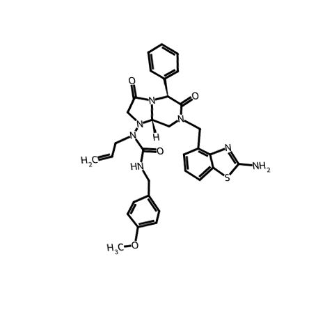 C=CCN(C(=O)NCc1ccc(OC)cc1)N1CC(=O)N2[C@@H](c3ccccc3)C(=O)N(Cc3cccc4sc(N)nc34)C[C@@H]21